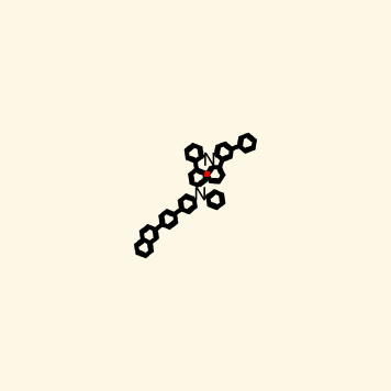 c1ccc(-c2ccc3c(c2)c2ccccc2n3-c2ccccc2-c2ccc(N(c3ccccc3)c3ccc(-c4ccc(-c5ccc6ccccc6c5)cc4)cc3)cc2)cc1